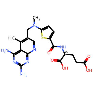 Cc1c(CN(C)c2ccc(C(=O)N[C@@H](CCC(=O)O)C(=O)O)s2)cnc2nc(N)nc(N)c12